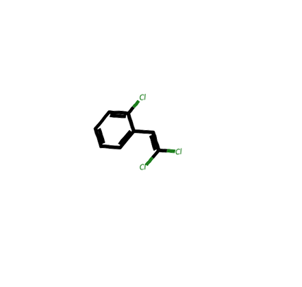 ClC(Cl)=Cc1ccccc1Cl